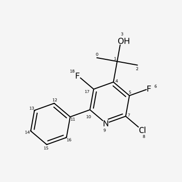 CC(C)(O)c1c(F)c(Cl)nc(-c2ccccc2)c1F